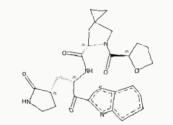 O=C1NCC[C@H]1C[C@H](NC(=O)[C@@H]1CC2(CC2)CN1C(=O)[C@H]1CCCO1)C(=O)c1nc2ccccc2s1